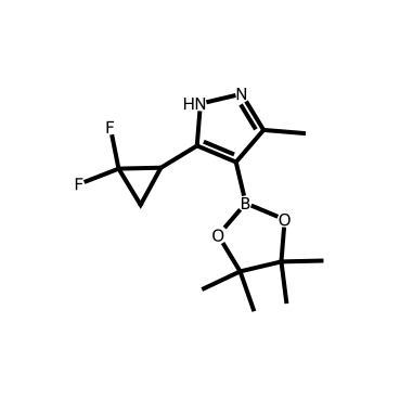 Cc1n[nH]c(C2CC2(F)F)c1B1OC(C)(C)C(C)(C)O1